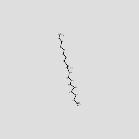 NCCCCCCCCCCCCCCCCCN.O